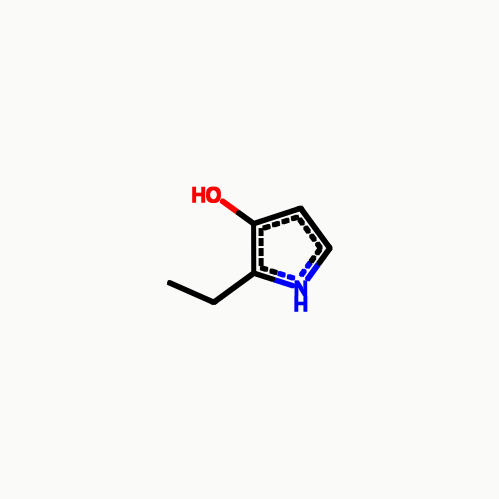 CCc1[nH]ccc1O